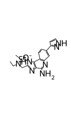 CCN(Cc1nc2c(N)nc3cc(-c4cc[nH]n4)ccc3c2[nH]1)[S+](C)[O-]